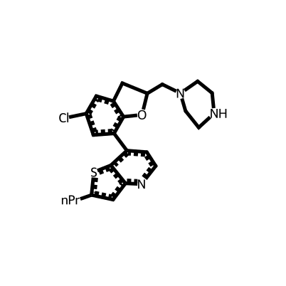 CCCc1cc2nccc(-c3cc(Cl)cc4c3OC(CN3CCNCC3)C4)c2s1